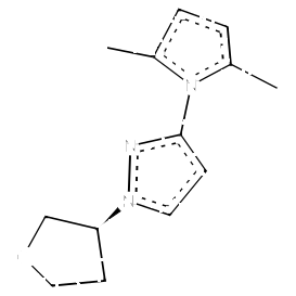 Cc1ccc(C)n1-c1ccn([C@H]2CCOC2)n1